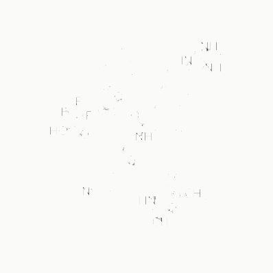 COC(=O)C(=Cc1ccc(C#N)cc1OC[C@@H](CCC(=O)OCc1ccccc1)NC(=O)c1cccc(-c2ccc(NC(=N)N)cc2)c1)NC(C)=O.O=C(O)C(F)(F)F